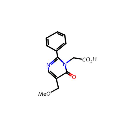 COCc1cnc(-c2ccccc2)n(CC(=O)O)c1=O